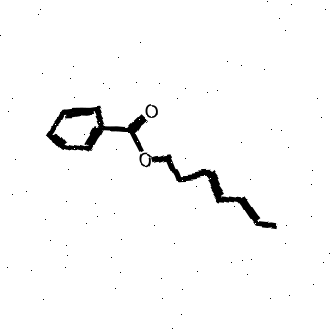 C/C=C/C=C/CCOC(=O)c1ccccc1